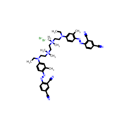 CCN(CC[N+](C)(C)CC[N+](C)(C)CCN(CC)c1ccc(N=Nc2ccc(C#N)cc2C#N)c(C)c1)c1ccc(N=Nc2ccc(C#N)cc2C#N)c(C)c1.[Br-].[Br-]